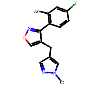 CCn1cc(Cc2conc2-c2ccc(F)cc2C(C)=O)cn1